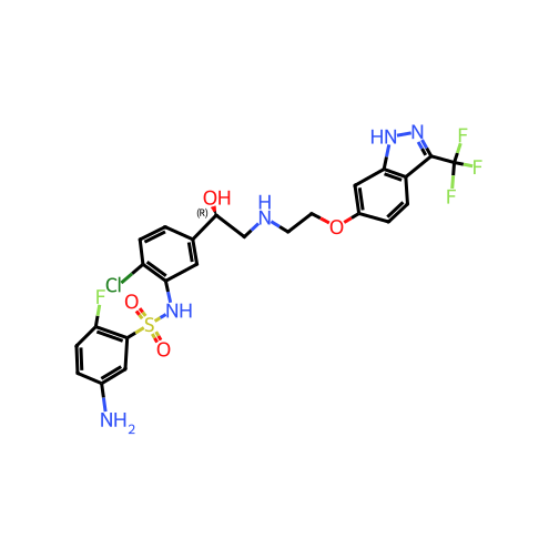 Nc1ccc(F)c(S(=O)(=O)Nc2cc([C@@H](O)CNCCOc3ccc4c(C(F)(F)F)n[nH]c4c3)ccc2Cl)c1